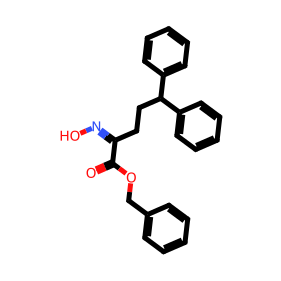 O=C(OCc1ccccc1)/C(CCC(c1ccccc1)c1ccccc1)=N\O